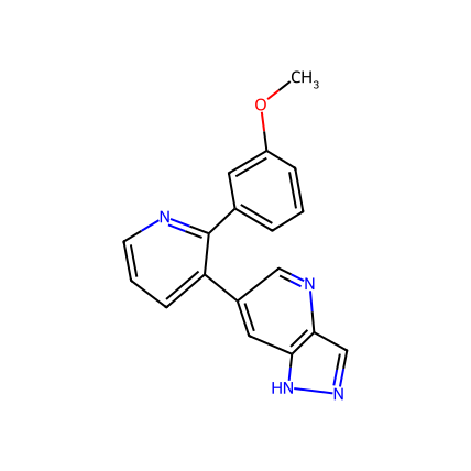 COc1cccc(-c2ncccc2-c2cnc3cn[nH]c3c2)c1